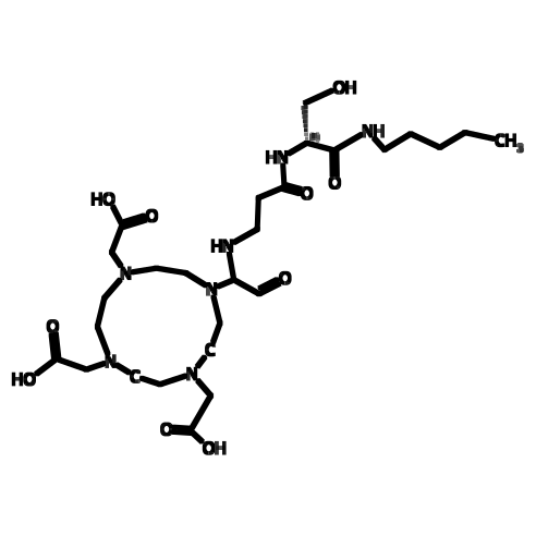 CCCCCNC(=O)[C@@H](CO)NC(=O)CCNC(C=O)N1CCN(CC(=O)O)CCN(CC(=O)O)CCN(CC(=O)O)CC1